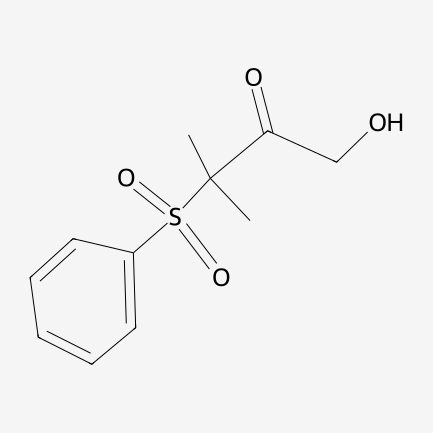 CC(C)(C(=O)CO)S(=O)(=O)c1ccccc1